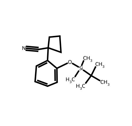 CC(C)(C)[Si](C)(C)Oc1ccccc1C1(C#N)CCC1